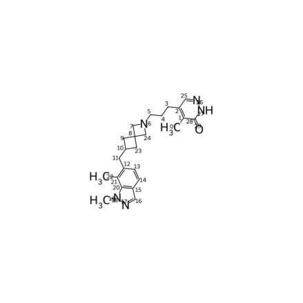 Cc1c(CCCN2CC3(CC(Cc4ccc5cnn(C)c5c4C)C3)C2)cn[nH]c1=O